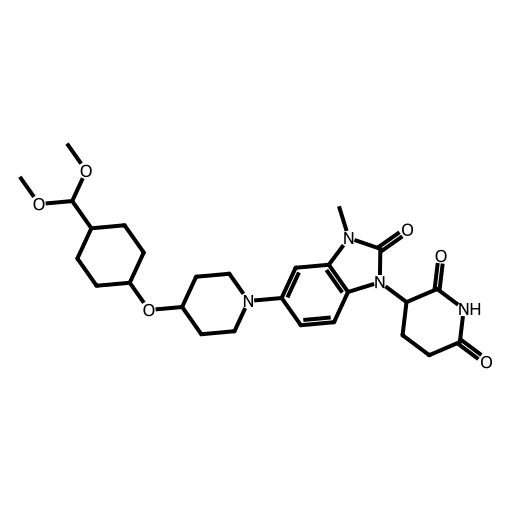 COC(OC)C1CCC(OC2CCN(c3ccc4c(c3)n(C)c(=O)n4C3CCC(=O)NC3=O)CC2)CC1